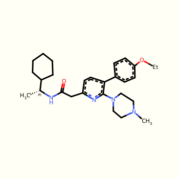 CCOc1ccc(-c2ccc(CC(=O)N[C@H](C)C3CCCCC3)nc2N2CCN(C)CC2)cc1